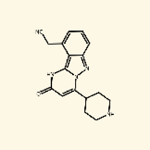 N#CCc1cccc2nn3c(C4CCNCC4)cc(=O)[nH]c3c12